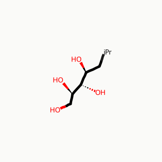 CC(C)C[C@H](O)[C@H](O)[C@H](O)CO